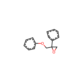 c1ccc(OCC2(c3ccccc3)CO2)cc1